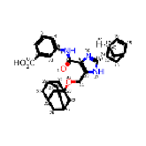 O=C(O)c1cccc(NC(=O)c2nc([C@H]3CC4C=C[C@H]3C4)[nH]c2COC23CC4CC(CC(C4)C2)C3)c1